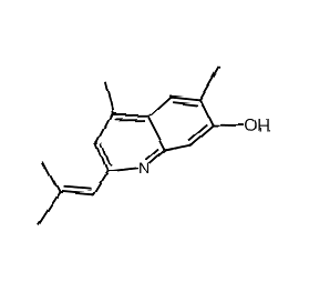 CC(C)=Cc1cc(C)c2cc(C)c(O)cc2n1